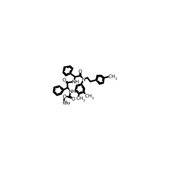 Cc1ccc(CCN(C(=O)C(NC(=O)C(NC(=O)OC(C)(C)C)c2ccccc2)c2ccccc2)c2ccc(C)c(C)c2)cc1